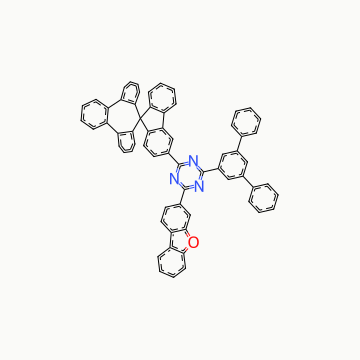 c1ccc(-c2cc(-c3ccccc3)cc(-c3nc(-c4ccc5c(c4)-c4ccccc4C54c5ccccc5-c5ccccc5-c5ccccc54)nc(-c4ccc5c(c4)oc4ccccc45)n3)c2)cc1